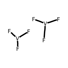 [F][V]([F])[F].[F][V]([F])[F]